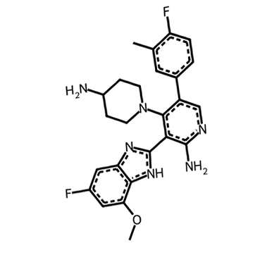 COc1cc(F)cc2nc(-c3c(N)ncc(-c4ccc(F)c(C)c4)c3N3CCC(N)CC3)[nH]c12